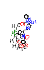 CCOCCn1c(NC2CCN(CCC(CN(C)C(=O)c3cc(OC)c(OC)c(OC)c3)c3ccc(C(F)(F)F)cc3)CC2)nc2ccccc21